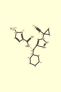 Cn1ccc(C(=O)N[C@H](c2cn(C3(C#N)CC3)nn2)C2CCCCC2)n1